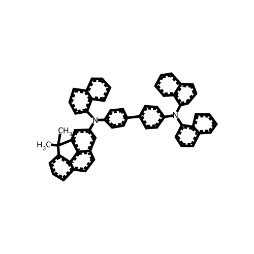 CC1(C)c2cccc3ccc4cc(N(c5ccc(-c6ccc(N(c7cccc8ccccc78)c7cccc8ccccc78)cc6)cc5)c5cccc6ccccc56)cc1c4c23